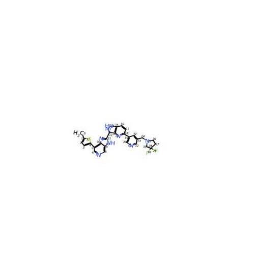 Cc1ccc(-c2cncc3[nH]c(-c4n[nH]c5ccc(-c6cncc(CN7CCC(F)(F)C7)c6)nc45)nc23)s1